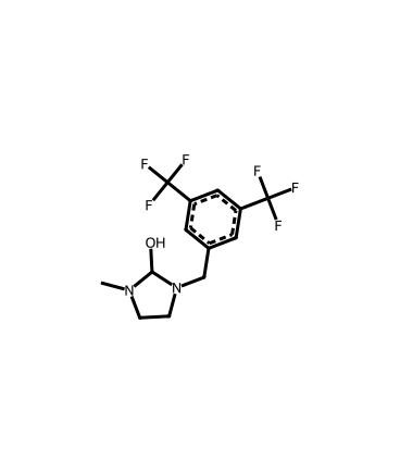 CN1CCN(Cc2cc(C(F)(F)F)cc(C(F)(F)F)c2)C1O